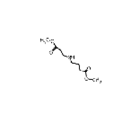 COC(=O)CCCNCCC(=O)OC